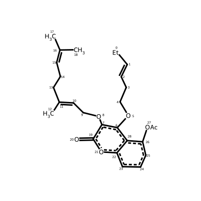 CCC=CCCOc1c(OC/C=C(\C)CCC=C(C)C)c(=O)oc2cccc(OC(C)=O)c12